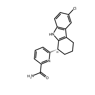 NC(=O)c1cccc([C@H]2CCCc3c2[nH]c2ccc(Cl)cc32)n1